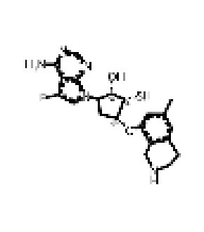 Cc1cc2c(c(O[C@H]3CC(n4cc(F)c5c(N)ncnc54)[C@H](O)[C@@H]3S)c1)CNCC2